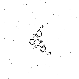 N#Cc1ccc(C(=O)N[C@@H](c2ccc(CF)cc2)c2ncccc2C(F)(F)F)nc1